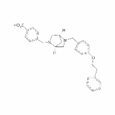 O=C(O)c1ccc(CN2C[C@@H]3C[C@H]2CN3Cc2ccc(OCCc3ccccc3)cc2)cc1